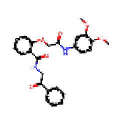 COc1ccc(NC(=O)COc2ccccc2C(=O)NCC(=O)c2ccccc2)cc1OC